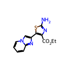 CCOC(=O)c1nc(N)sc1-c1cn2ccccc2n1